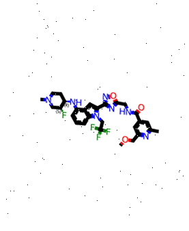 COCc1cc(C(=O)NCc2nc(-c3cc4c(N[C@@H]5CCN(C)C[C@@H]5F)cccc4n3CC(F)(F)F)no2)cc(C)n1